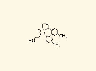 Cc1ccc(-c2[c]ccc3c2C(c2ccc(C)cc2)C(CCO)O3)cc1